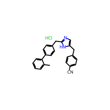 Cc1ccccc1-c1ccc(Cc2ncc(Cc3ccc(C#N)cc3)[nH]2)cc1.Cl